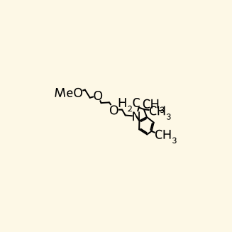 C=C1N(CCOCCOCCOC)c2ccc(C)cc2C1(C)C